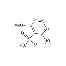 COc1cccc([N+](=O)[O-])c1S(C)(=O)=O